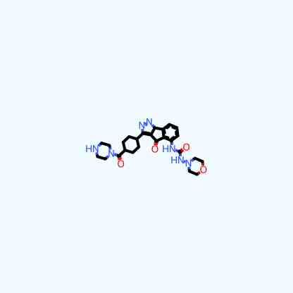 O=C(Nc1cccc2c1C(=O)C1=C(C3CCC(C(=O)N4CCNCC4)CC3)N=NC12)NN1CCOCC1